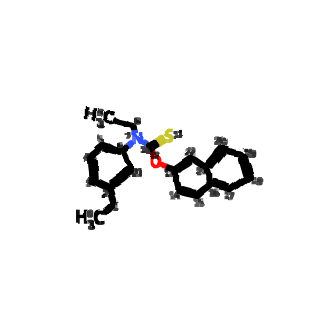 CCc1cccc(N(CC)C(=S)Oc2ccc3ccccc3c2)c1